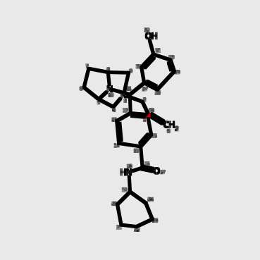 C=CCN1CC2CCC(C1)N2C(c1ccc(C(=O)NC2CCCCC2)cc1)c1cccc(O)c1